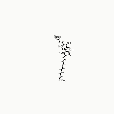 C=C(NC(CO)C(O)C(O)CCCCCCCCCCCCCC)C(O)CCCCCCCCCCCCCCCCCCCCCC